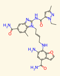 CCn1nc(C)cc1C(=O)Nc1nc2cc(C(N)=O)cc(C)c2n1CC=CCNc1c(N)cc(C(N)=O)c2ccoc12